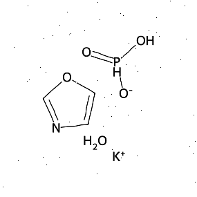 O.O=[PH]([O-])O.[K+].c1cocn1